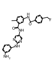 Cc1ccc(NC(=O)c2ccc(CF)cc2)cc1C(=O)Nc1cnc(Nc2cccc(N)c2)nc1